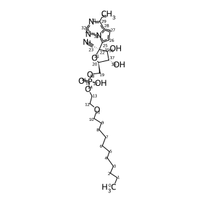 CCCCCCCCCCCOCCOP(=O)(O)OC[C@H]1O[C@@](C#N)(c2ccc3c(C)ncnn23)[C@H](O)[C@@H]1O